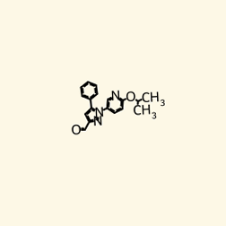 CC(C)Oc1ccc(-n2nc(C=O)cc2-c2ccccc2)cn1